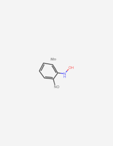 O=Nc1ccccc1NO.[Mn]